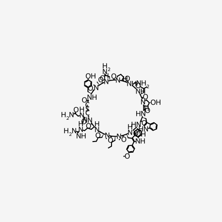 CCCC[C@H]1C(=O)N(C)[C@@H](CCCC)C(=O)NC(CCCNC(=N)N)C(=O)N[C@H](C(=O)NCC(N)=O)CSCC(=O)N[C@@H](Cc2ccc(O)cc2)C(=O)N(C)[C@@H](C)C(=O)N[C@@H](CC(N)=O)C(=O)N2CCC[C@H]2C(=O)N[C@@H](CN)C(=O)N[C@@H](CC(C)C)C(=O)N2C[C@H](O)C[C@H]2C(=O)N[C@@H](Cc2c[nH]c3ccccc23)C(=O)N[C@@H](CO)C(=O)N[C@@H](Cc2c(-c3ccc(OC)cc3)[nH]c3ccccc23)C(=O)N1C